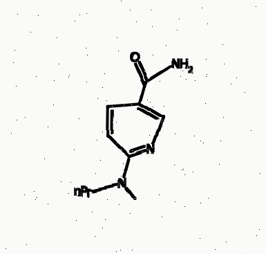 CCCN(C)c1ccc(C(N)=O)cn1